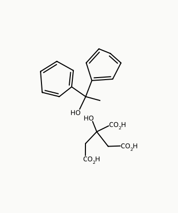 CC(O)(c1ccccc1)c1ccccc1.O=C(O)CC(O)(CC(=O)O)C(=O)O